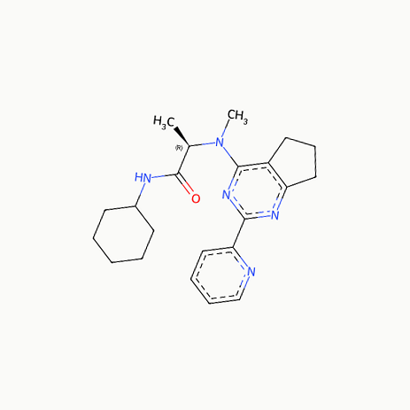 C[C@H](C(=O)NC1CCCCC1)N(C)c1nc(-c2ccccn2)nc2c1CCC2